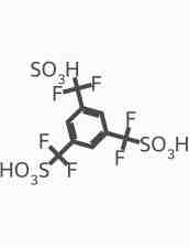 O=S(=O)(O)C(F)(F)c1cc(C(F)(F)S(=O)(=O)O)cc(C(F)(F)S(=O)(=O)O)c1